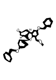 COCc1cc(OCc2ccccc2)cc2c1O[C@@H](c1ccc(OCc3ccccc3)cc1)[C@H]1CC(=O)C[C@@H]21